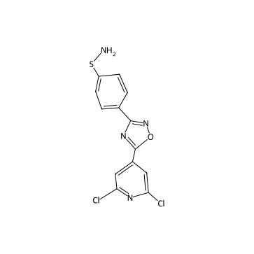 NSc1ccc(-c2noc(-c3cc(Cl)nc(Cl)c3)n2)cc1